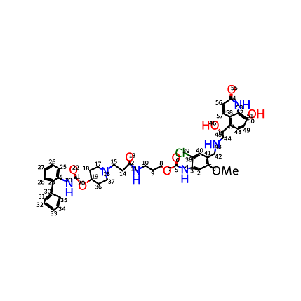 COc1cc(NC(=O)OCCCNC(=O)CCN2CCC(OC(=O)Nc3ccccc3-c3ccccc3)CC2)c(Cl)cc1CNC[C@H](O)c1ccc(O)c2[nH]c(=O)ccc12